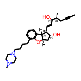 CC#CC[C@H](C)[C@H](O)C=C[C@@H]1[C@H]2c3cccc(CCCCN4CCN(C)CC4)c3O[C@H]2C[C@H]1O